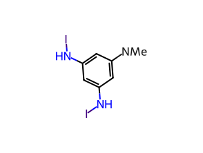 CNc1cc(NI)cc(NI)c1